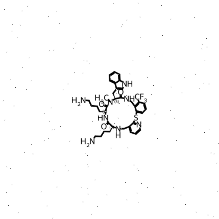 CN1C(=O)[C@H](CCCCN)NC(=O)[C@H](CCCCN)NCc2cccnc2Sc2cccc(C(F)(F)F)c2CNC(=O)[C@@H]1Cc1c[nH]c2ccccc12